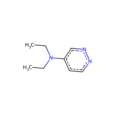 CCN(CC)c1[c]nncc1